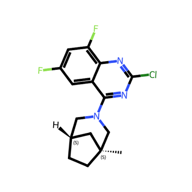 C[C@@]12CC[C@H](CN(c3nc(Cl)nc4c(F)cc(F)cc34)C1)C2